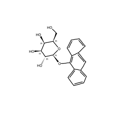 OC[C@H]1O[C@@H](Oc2c3ccccc3cc3ccccc23)[C@H](O)[C@@H](O)[C@H]1O